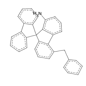 Nc1cccc2c1C1(c3ccccc3-c3ccccc31)c1cccc(Cc3ccccc3)c1-2